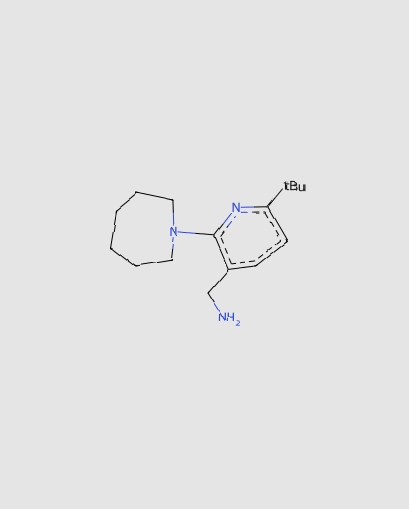 CC(C)(C)c1ccc(CN)c(N2CCCCCC2)n1